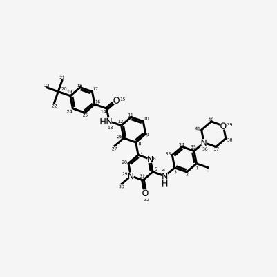 Cc1cc(Nc2nc(-c3cccc(NC(=O)c4ccc(C(C)(C)C)cc4)c3C)cn(C)c2=O)ccc1N1CCOCC1